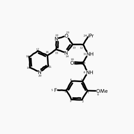 COc1ccc(F)cc1NC(=O)NC(c1nc(-c2cccnc2)no1)C(C)C